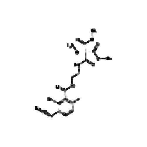 [CH2]c1ccc(N=[N+]=[N-])c(Br)c1C(=O)NCCNC(=O)C(ON)(C(=O)OC(C)(C)C)C(=O)OC(C)(C)C